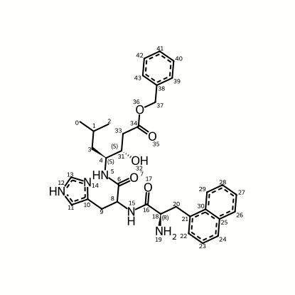 CC(C)C[C@H](NC(=O)C(Cc1c[nH]cn1)NC(=O)[C@H](N)Cc1cccc2ccccc12)[C@@H](O)CC(=O)OCc1ccccc1